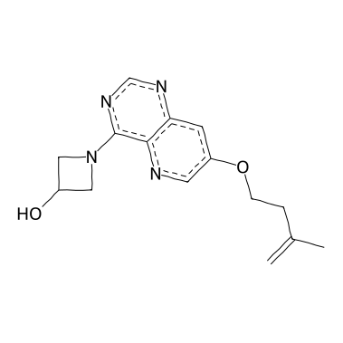 C=C(C)CCOc1cnc2c(N3CC(O)C3)ncnc2c1